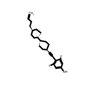 C=CCC[C@H]1CC[C@H]([C@H]2CC[C@H](C#Cc3c(F)cc(CCC)cc3F)CC2)CC1